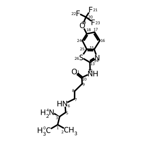 CC(C)[C@@H](N)CNCCCC(=O)Nc1nc2ccc(OC(F)(F)F)cc2s1